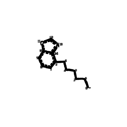 [CH2]CCCCCc1cccc2ocnc12